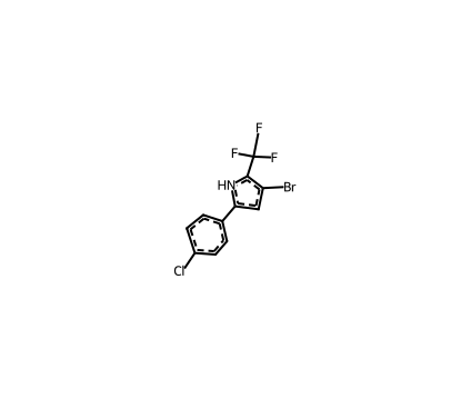 FC(F)(F)c1[nH]c(-c2ccc(Cl)cc2)cc1Br